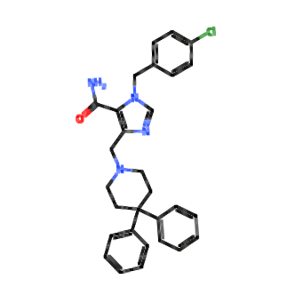 NC(=O)c1c(CN2CCC(c3ccccc3)(c3ccccc3)CC2)ncn1Cc1ccc(Cl)cc1